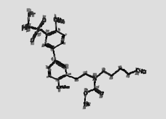 COc1ccc(-c2ccc(OC)c(S(=O)(=O)NC(C)C)c2)cc1CCN(CCCCC=O)C(=O)OC(C)(C)C